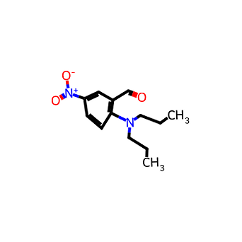 CCCN(CCC)c1ccc([N+](=O)[O-])cc1C=O